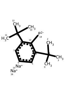 CC(C)(C)c1cccc(C(C)(C)C)c1[P-2].[Na+].[Na+]